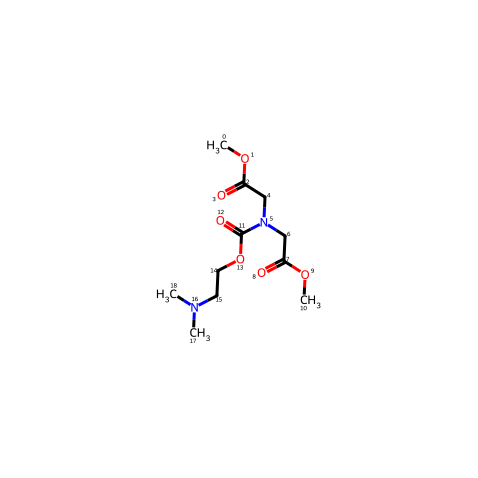 COC(=O)CN(CC(=O)OC)C(=O)OCCN(C)C